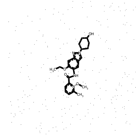 CCOc1cc2nn(C3CCC(O)CC3)cc2cc1NC(=O)c1cccc(C)[n+]1OC